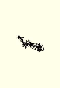 CC[C@@H]1C[C@H](OC(=O)c2c(-c3c(Cl)cccc3Cl)noc2C2CC2)CCN1c1nc2c(F)cc(C(=O)NCC(=O)OCC(C)C)cc2s1